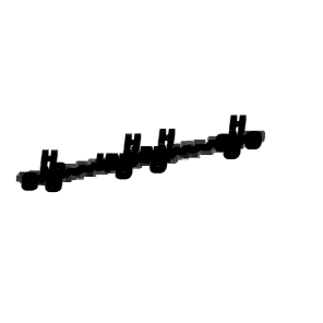 COCCNC(=O)OCCCCCCCCCNC(=O)NCCCNC(=O)NCCCCCCCCCOC(=O)NCCOC